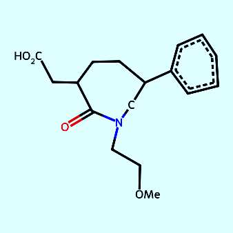 COCCN1CC(c2ccccc2)CCC(CC(=O)O)C1=O